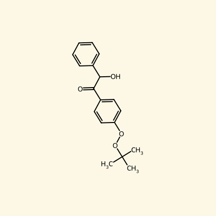 CC(C)(C)OOc1ccc(C(=O)C(O)c2ccccc2)cc1